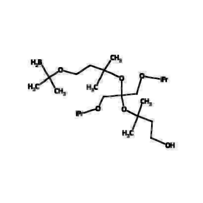 BC(C)(C)OCCC(C)(C)OC(COC(C)C)(COC(C)C)OC(C)(C)CCO